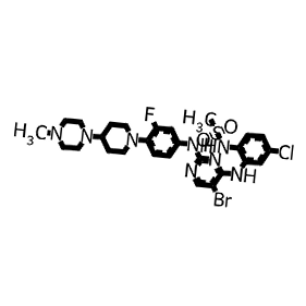 CN1CCN(C2CCN(c3ccc(Nc4ncc(Br)c(Nc5cc(Cl)ccc5NS(C)(=O)=O)n4)cc3F)CC2)CC1